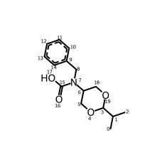 CC(C)C1OCC(N(Cc2ccccc2)C(=O)O)CO1